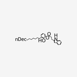 CCCCCCCCCCCCCCCCCc1cccc(OC(=O)CCc2cc3ccccc3[nH]2)c1O